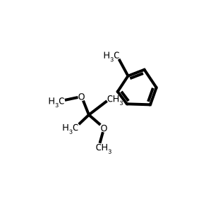 COC(C)(C)OC.Cc1ccccc1